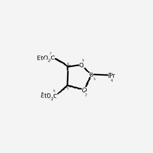 CCOC(=O)C1OB(C(C)C)OC1C(=O)OCC